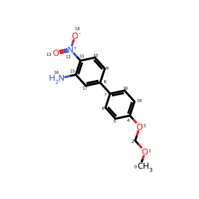 COCOc1ccc(-c2ccc([N+](=O)[O-])c(N)c2)cc1